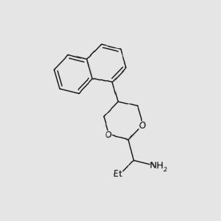 CCC(N)C1OCC(c2cccc3ccccc23)CO1